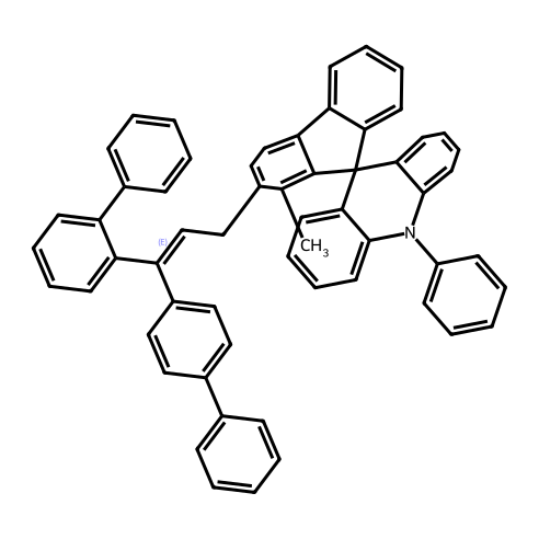 Cc1c(C/C=C(\c2ccc(-c3ccccc3)cc2)c2ccccc2-c2ccccc2)ccc2c1C1(c3ccccc3-2)c2ccccc2N(c2ccccc2)c2ccccc21